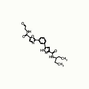 CCC(CC)NC(=O)c1cc(-c2cccc(-c3ncc(C(=O)NCC=O)o3)c2)[nH]n1